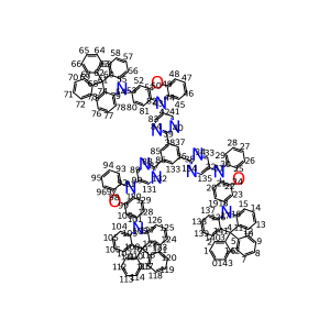 c1ccc(C2(c3ccccc3)c3ccccc3N(c3ccc4c(c3)Oc3ccccc3N4c3cnc(-c4cc(-c5ncc(N6c7ccccc7Oc7cc(N8c9ccccc9C(c9ccccc9)(c9ccccc9)c9ccccc98)ccc76)cn5)cc(-c5ncc(N6c7ccccc7Oc7cc(N8c9ccccc9C(c9ccccc9)(c9ccccc9)c9ccccc98)ccc76)cn5)c4)nc3)c3ccccc32)cc1